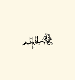 C=CCNNNCCC[Si](OC)(OC)OC